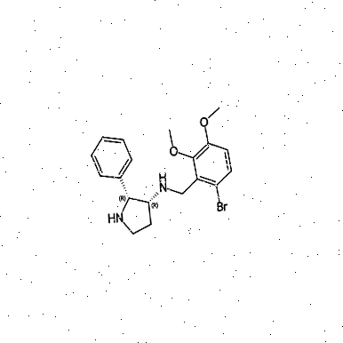 COc1ccc(Br)c(CN[C@@H]2CCN[C@@H]2c2ccccc2)c1OC